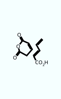 C=CC=CC(=O)O.O=C1C=CCC(=O)O1